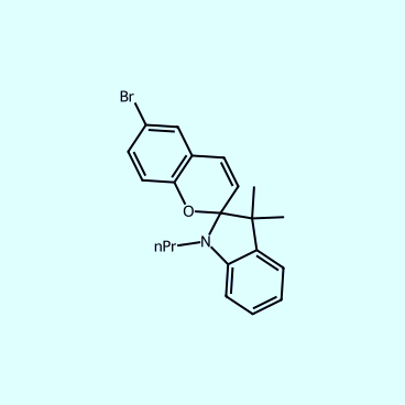 CCCN1c2ccccc2C(C)(C)C12C=Cc1cc(Br)ccc1O2